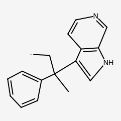 [CH2]CC(C)(c1ccccc1)c1c[nH]c2cnccc12